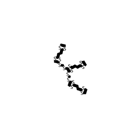 C1=CSC(=CC=C2SC=C(SCSC3=C(SCSC4=CSC(=CC=C5SC=CS5)S4)SC(=CC=C4SC=CS4)S3)S2)S1